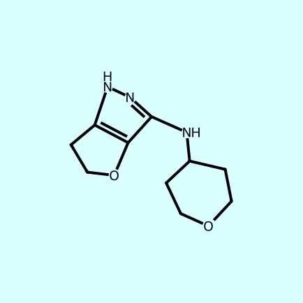 C1CC(Nc2n[nH]c3c2OCC3)CCO1